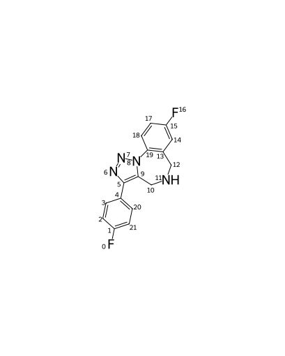 Fc1ccc(-c2nnn3c2CNCc2cc(F)ccc2-3)cc1